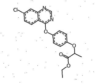 CCOC(=O)C(C)Oc1ccc(Oc2ncnc3cc(Cl)ccc23)cc1